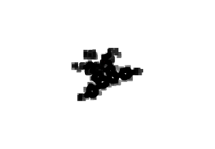 Cc1ccc(C2=Cc3c(-c4ccc(C(C)C)cc4)cccc3[CH]2[Hf]([CH]2C(c3ccc(C)o3)=Cc3c(-c4ccc(C(C)C)cc4)cccc32)=[Si](C)C)o1.Cl.Cl